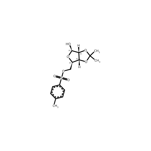 Cc1ccc(S(=O)(=O)OC[C@H]2O[C@@H](O)[C@@H]3OC(C)(C)O[C@@H]32)cc1